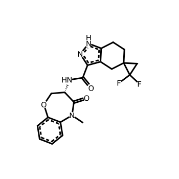 CN1C(=O)[C@@H](NC(=O)c2n[nH]c3c2CC2(CC3)CC2(F)F)COc2ccccc21